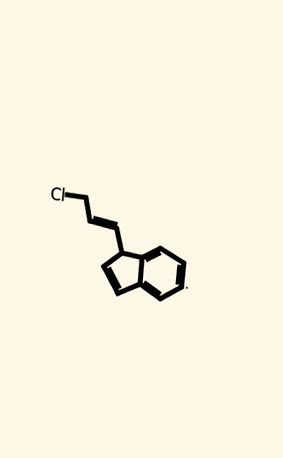 ClCC=CC1C=Cc2c[c]ccc21